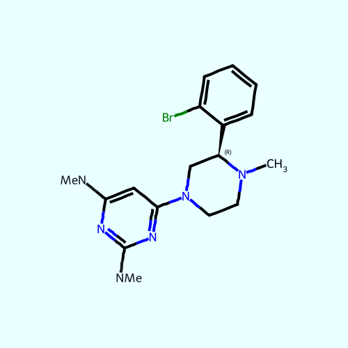 CNc1cc(N2CCN(C)[C@H](c3ccccc3Br)C2)nc(NC)n1